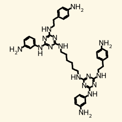 Nc1ccc(CCNc2nc(NCCCCCCNc3nc(NCCc4ccc(N)cc4)nc(Nc4cccc(N)c4)n3)nc(Nc3cccc(N)c3)n2)cc1